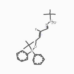 CC(C)(C)[S@@+]([O-])/N=C/C(F)=C/CO[Si](c1ccccc1)(c1ccccc1)C(C)(C)C